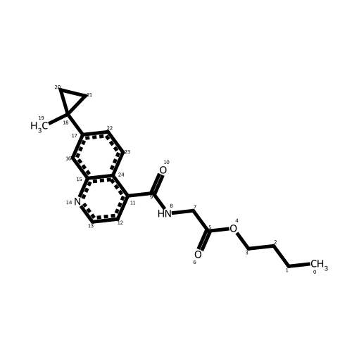 CCCCOC(=O)CNC(=O)c1ccnc2cc(C3(C)CC3)ccc12